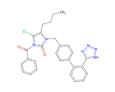 CCCCc1c(Cl)n(C(=O)c2ccccc2)c(=O)n1Cc1ccc(-c2ccccc2-c2nnn[nH]2)cc1